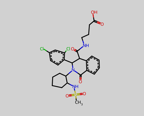 CS(=O)(=O)NC1CCCCC1N1C(=O)c2ccccc2C(C(=O)NCCCC(=O)O)C1c1ccc(Cl)cc1Cl